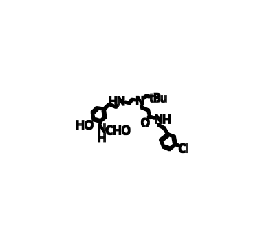 CC(C)(C)CN(CCNCCc1ccc(O)c(NC=O)c1)CCC(=O)NCCc1cccc(Cl)c1